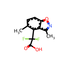 Cc1ccc2onc(C)c2c1C(F)(F)C(=O)O